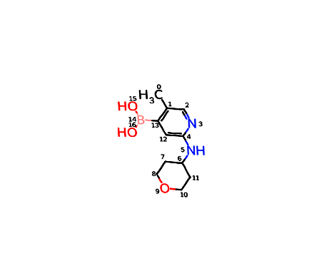 Cc1cnc(NC2CCOCC2)cc1B(O)O